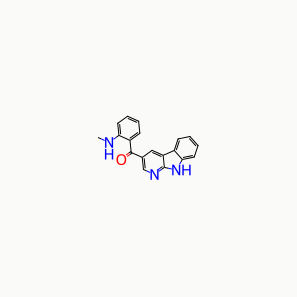 CNc1ccccc1C(=O)c1cnc2[nH]c3ccccc3c2c1